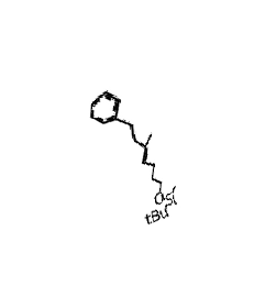 C/C(=C\CCCO[Si](C)(C)C(C)(C)C)CCc1ccccc1